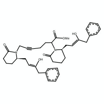 COC(=O)C(CCC#CCN1C(=O)CCC[C@@H]1C/C=C(\O)Cc1ccccc1)N1C(=O)CCC[C@@H]1C/C=C(\O)Cc1ccccc1